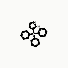 c1ccc([PH](c2ccccc2)(c2ccccc2)c2ccn[nH]2)cc1